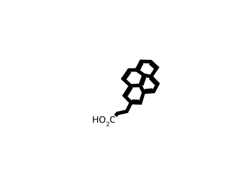 O=C(O)CCc1cc2ccc3cccc4ccc(c1)c2c34